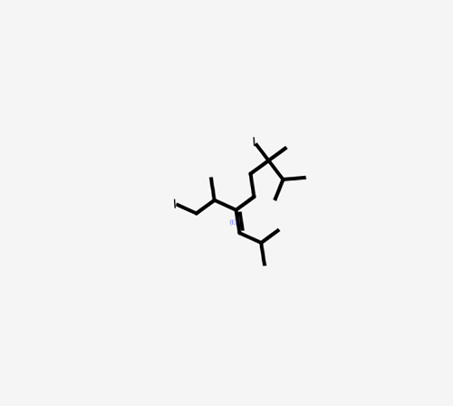 CC(C)/C=C(\CCC(C)(I)C(C)C)C(C)CI